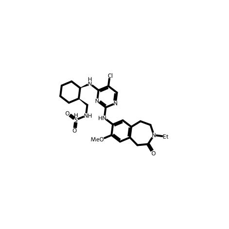 CCN1CCc2cc(Nc3ncc(Cl)c(N[C@@H]4CCCC[C@@H]4CN[SH](=O)=O)n3)c(OC)cc2CC1=O